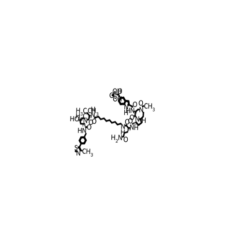 CC(=O)N1CC[C@H]2CC[C@@H](C(=O)N[C@@H](CCC(N)=O)C(=O)NCCCCCCCCCC(=O)N[C@H](C(=O)N3C[C@H](O)C[C@H]3C(=O)NCc3ccc(-c4scnc4C)cc3)C(C)(C)C)N2C(=O)[C@@H](NC(=O)c2cc3cc(C(=O)P(=O)(O)O)ccc3[nH]2)C1